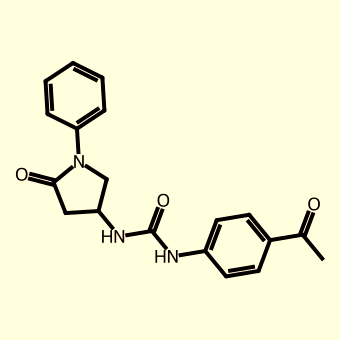 CC(=O)c1ccc(NC(=O)NC2CC(=O)N(c3ccccc3)C2)cc1